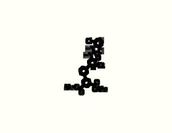 CCn1nc(-c2cccc(-c3cc(C(=O)OC)cc(C(=O)OC)c3)c2)cc(NC(=O)Nc2c(Cl)cncc2Cl)c1=O